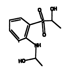 CC(O)Nc1[c]cccc1S(=O)(=O)C(C)O